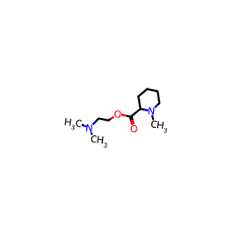 CN(C)CCOC(=O)C1CCCCN1C